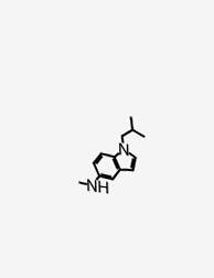 CNc1ccc2c(ccn2CC(C)C)c1